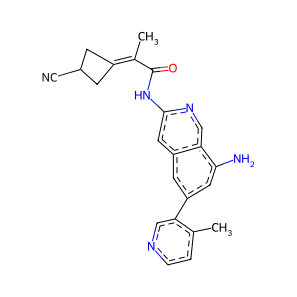 CC(C(=O)Nc1cc2cc(-c3cnccc3C)cc(N)c2cn1)=C1CC(C#N)C1